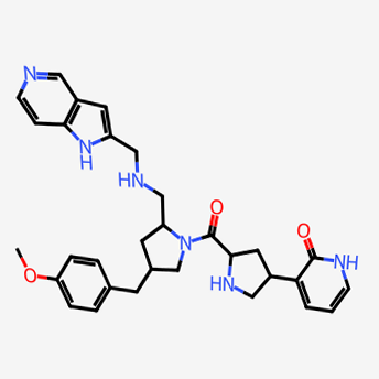 COc1ccc(CC2CC(CNCc3cc4cnccc4[nH]3)N(C(=O)C3CC(c4ccc[nH]c4=O)CN3)C2)cc1